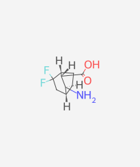 N[C@H]1[C@@H]2CC[C@H]([C@@H]1C(=O)O)C(F)(F)C2